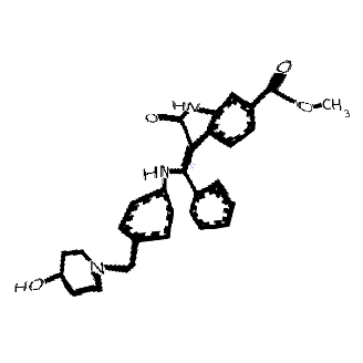 COC(=O)c1ccc2c(c1)NC(=O)/C2=C(\Nc1ccc(CN2CCC(O)CC2)cc1)c1ccccc1